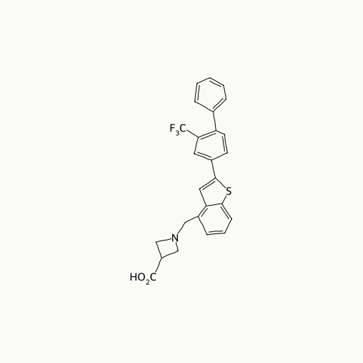 O=C(O)C1CN(Cc2cccc3sc(-c4ccc(-c5ccccc5)c(C(F)(F)F)c4)cc23)C1